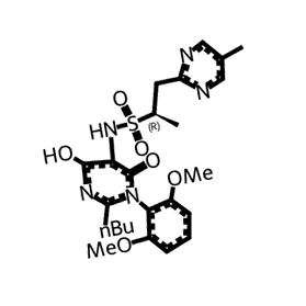 CCCCc1nc(O)c(NS(=O)(=O)[C@H](C)Cc2ncc(C)cn2)c(=O)n1-c1c(OC)cccc1OC